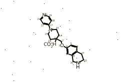 O=C(O)C1(COc2ccc3c(c2)CNCC3)CCN(c2ccncc2)CC1